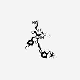 CNC1=C(C(=O)NCCO)N(Cc2ccc(Cl)cc2)C(OCCCOc2cccc(OC(F)(F)F)c2)N1